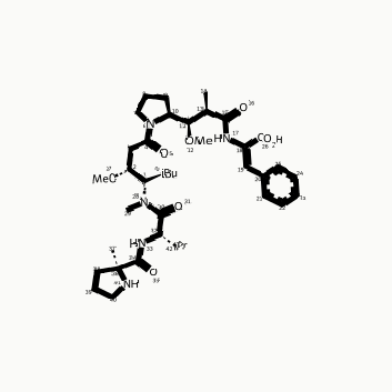 CC[C@H](C)[C@@H]([C@@H](CC(=O)N1CCC[C@H]1[C@H](OC)[C@@H](C)C(=O)N/C(=C/c1ccccc1)C(=O)O)OC)N(C)C(=O)[C@@H](NC(=O)[C@]1(C)CCCN1)C(C)C